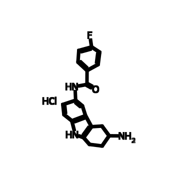 Cl.NC1CCc2[nH]c3ccc(NC(=O)c4ccc(F)cc4)cc3c2C1